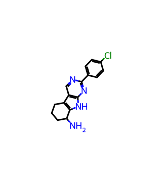 NC1CCCc2c1[nH]c1nc(-c3ccc(Cl)cc3)ncc21